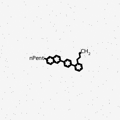 C=CCCc1ccccc1-c1ccc(-c2ccc3cc(CCCCC)ccc3c2)cc1